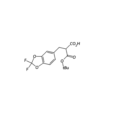 CC(C)(C)OC(=O)C(Cc1ccc2c(c1)OC(F)(F)O2)C(=O)O